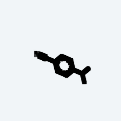 CC(C)c1[c]cc(C#N)cc1